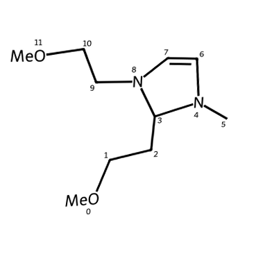 COCCC1N(C)C=CN1CCOC